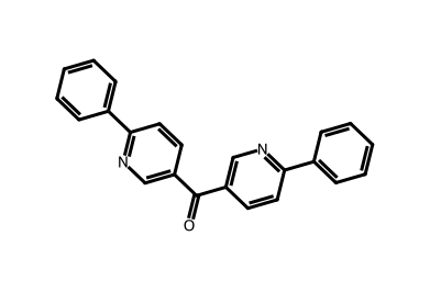 O=C(c1ccc(-c2ccccc2)nc1)c1ccc(-c2ccccc2)nc1